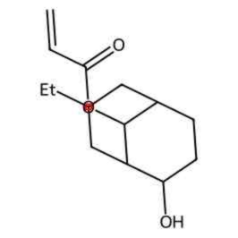 C=CC(=O)OC1C2CCC(O)C1CC(CC)C2